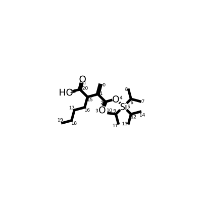 C=C(C(=O)O[Si](C(C)C)(C(C)C)C(C)C)C(CCCC)C(=O)O